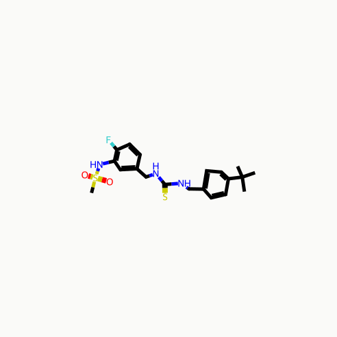 CC(C)(C)c1ccc(CNC(=S)NCc2ccc(F)c(NS(C)(=O)=O)c2)cc1